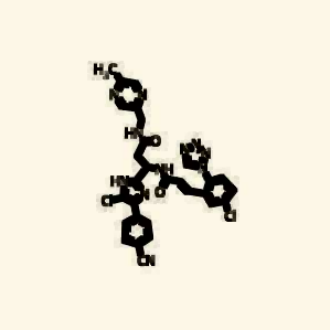 Cc1cnc(CNC(=O)CC(NC(=O)C=Cc2cc(Cl)ccc2-n2cnnn2)c2nc(-c3ccc(C#N)cc3)c(Cl)[nH]2)cn1